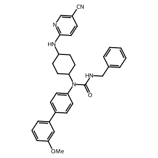 COc1cccc(-c2ccc(N(C(=O)NCc3ccccc3)C3CCC(Nc4ccc(C#N)cn4)CC3)cc2)c1